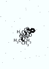 CC(C)C(C)C(=O)NNC(=O)C(C(C)C)N1C(=O)c2ccccc2C1=O